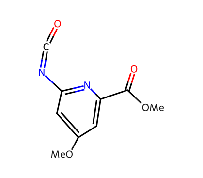 COC(=O)c1cc(OC)cc(N=C=O)n1